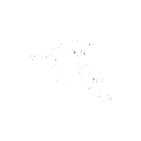 CCC1OC(=O)N(Cc2cccc(NC(=O)c3cnco3)c2)N=C1c1ccc(OC)c(OC2CCCC2)c1